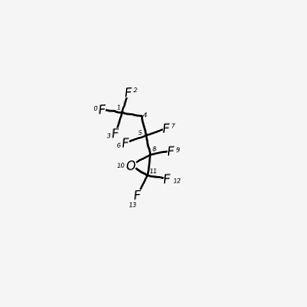 FC(F)(F)CC(F)(F)C1(F)OC1(F)F